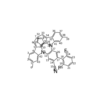 Cc1ccc2c3ccccc3n(-c3cc(C#N)c(-c4c(F)cccc4F)cc3-n3c4ccccc4c4ccc(C)cc43)c2c1